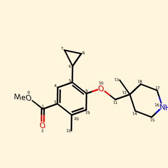 COC(=O)c1cc(C2CC2)c(OCC2(C)CCNCC2)cc1C